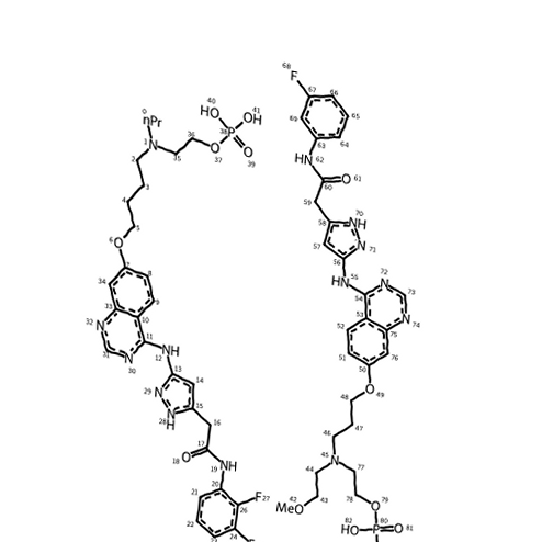 CCCN(CCCCOc1ccc2c(Nc3cc(CC(=O)Nc4cccc(F)c4F)[nH]n3)ncnc2c1)CCOP(=O)(O)O.COCCN(CCCOc1ccc2c(Nc3cc(CC(=O)Nc4cccc(F)c4)[nH]n3)ncnc2c1)CCOP(=O)(O)O